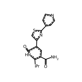 CC(C)c1[nH]c(=O)c(-c2csc(-c3ccncc3)n2)cc1C(N)=O